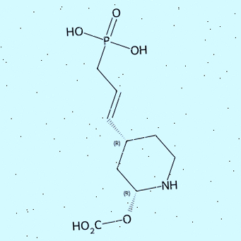 O=C(O)O[C@@H]1C[C@H](C=CCP(=O)(O)O)CCN1